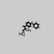 CCNCC(O)C(C)c1ccc(SC2CCCCC2)cc1